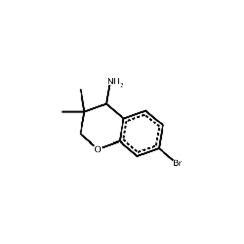 CC1(C)COc2cc(Br)ccc2C1N